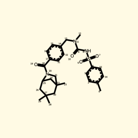 Cc1ccc(S(=O)(=O)NC(=O)N(C)Cc2ccc(C(=O)N3CC4(C)CC3CC(C)(C)C4)cc2)cc1